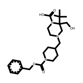 CC(C)(C)C1(CO)CN(CC2CCN(C(=O)OCc3ccccc3)CC2)CCN1C(=O)O